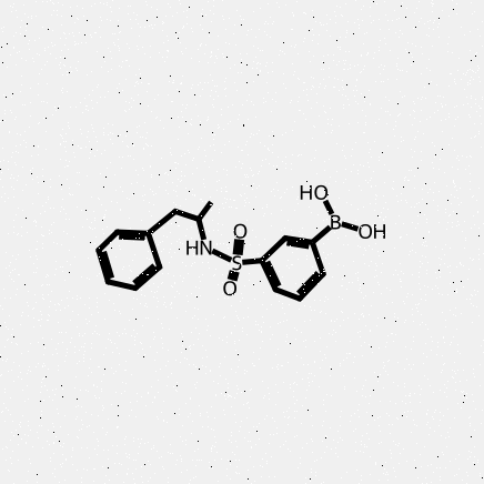 CC(Cc1ccccc1)NS(=O)(=O)c1cccc(B(O)O)c1